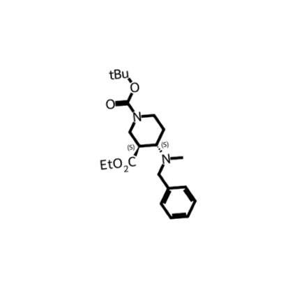 CCOC(=O)[C@H]1CN(C(=O)OC(C)(C)C)CC[C@@H]1N(C)Cc1ccccc1